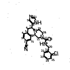 N#Cc1ccc(CC(c2cnc[nH]2)N2CCN(C(=O)NCc3ccccc3Cl)CC2)cc1